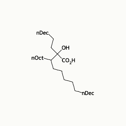 CCCCCCCCCCCCCCCC(CCCCCCCC)C(O)(CCCCCCCCCCCC)C(=O)O